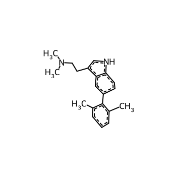 Cc1cccc(C)c1-c1ccc2[nH]cc(CCN(C)C)c2c1